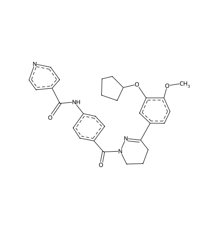 COc1ccc(C2=NN(C(=O)c3ccc(NC(=O)c4ccncc4)cc3)CCC2)cc1OC1CCCC1